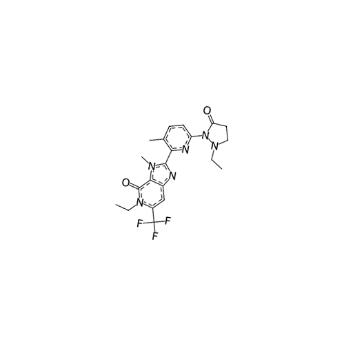 CCN1CCC(=O)N1c1ccc(C)c(-c2nc3cc(C(F)(F)F)n(CC)c(=O)c3n2C)n1